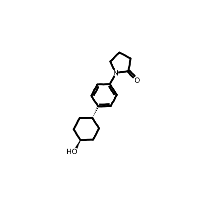 O=C1CCCN1c1ccc([C@H]2CC[C@H](O)CC2)cc1